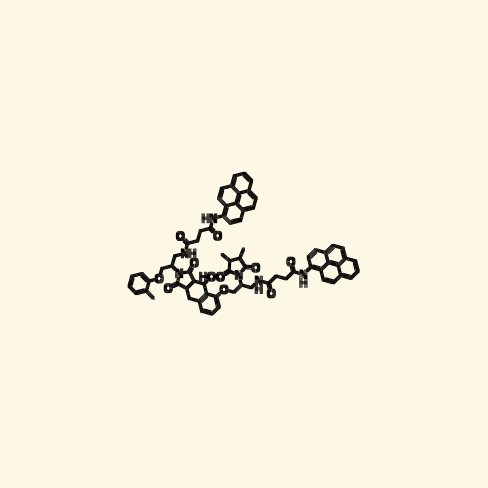 Cc1ccccc1OCC(CNC(=O)CCC(=O)Nc1ccc2ccc3cccc4ccc1c2c34)N1C(=O)C2Cc3cccc(OCC(CNC(=O)CCC(=O)Nc4ccc5ccc6cccc7ccc4c5c67)N4C(=O)C(C)C(C)C4=O)c3C(O)C2C1=O